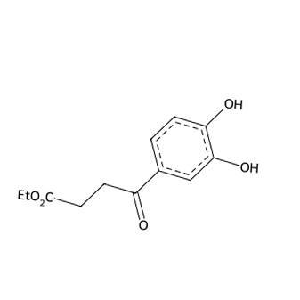 CCOC(=O)CCC(=O)c1ccc(O)c(O)c1